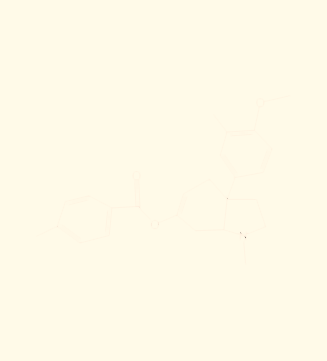 COc1ccc(C23CC=C(OC(=O)c4ccc(C)cc4)CC2N(C)CC3)cc1C